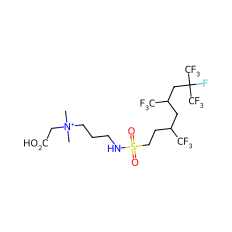 C[N+](C)(CCCNS(=O)(=O)CCC(CC(CC(F)(C(F)(F)F)C(F)(F)F)C(F)(F)F)C(F)(F)F)CC(=O)O